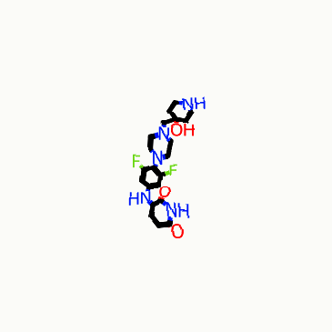 O=C1CCC(Nc2cc(F)c(N3CCN(CC4(O)CCNCC4)CC3)c(F)c2)C(=O)N1